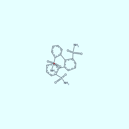 NS(=O)(=O)c1ccccc1-c1cccc(S(N)(=O)=O)c1-c1ccccc1S(N)(=O)=O